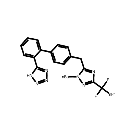 CCCCn1nc(C(F)(F)CCC)nc1Cc1ccc(-c2ccccc2-c2nnn[nH]2)cc1